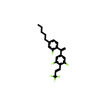 C=C(c1cc(F)c(/C=C/C(F)(F)F)c(F)c1)c1ccc(CCCCC)cc1F